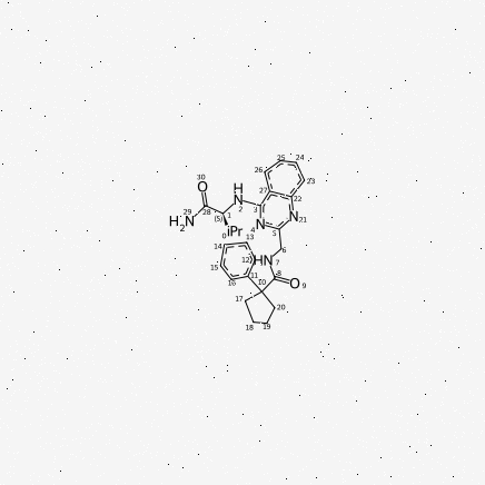 CC(C)[C@H](Nc1nc(CNC(=O)C2(c3ccccc3)CCCC2)nc2ccccc12)C(N)=O